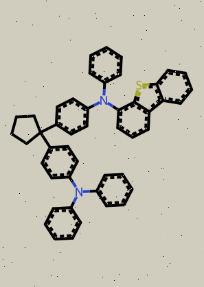 c1ccc(N(c2ccccc2)c2ccc(C3(c4ccc(N(c5ccccc5)c5cccc6c5sc5ccccc56)cc4)CCCC3)cc2)cc1